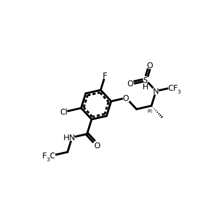 C[C@H](COc1cc(C(=O)NCC(F)(F)F)c(Cl)cc1F)N([SH](=O)=O)C(F)(F)F